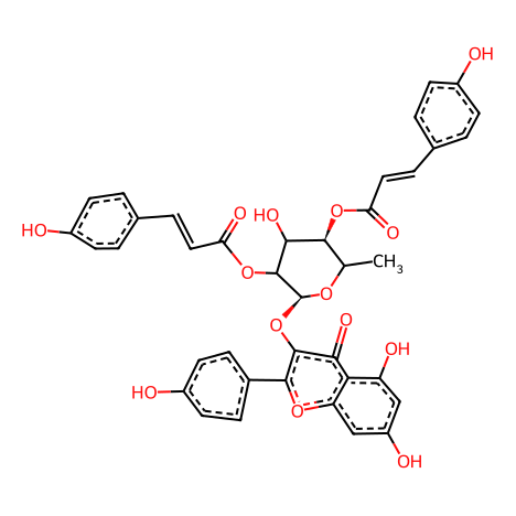 CC1O[C@@H](Oc2c(-c3ccc(O)cc3)oc3cc(O)cc(O)c3c2=O)C(OC(=O)/C=C/c2ccc(O)cc2)C(O)[C@H]1OC(=O)/C=C/c1ccc(O)cc1